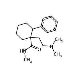 CNC(=O)C1(CCN(C)C)CCCCC1c1ccccc1